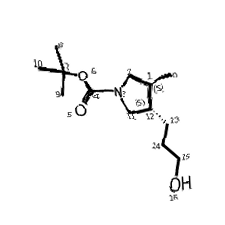 C[C@@H]1CN(C(=O)OC(C)(C)C)C[C@H]1CCCO